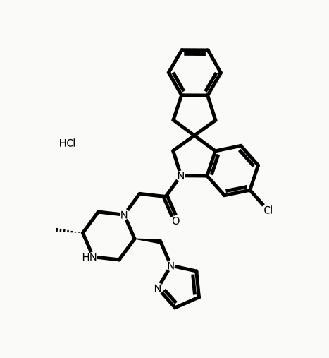 C[C@@H]1CN(CC(=O)N2CC3(Cc4ccccc4C3)c3ccc(Cl)cc32)[C@@H](Cn2cccn2)CN1.Cl